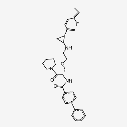 C=C(/C=C\C(F)=C/C)[C@@H]1CC1NCCOC[C@H](NC(=O)c1ccc(-c2ccccc2)cc1)C(=O)N1CCCCC1